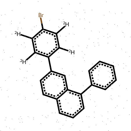 [2H]c1c([2H])c(-c2ccc3cccc(-c4ccccc4)c3c2)c([2H])c([2H])c1Br